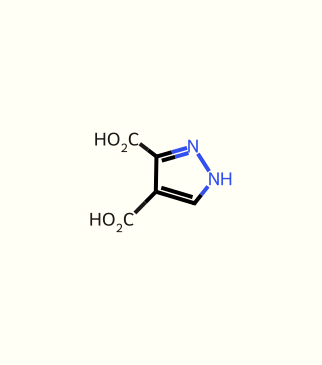 O=C(O)c1c[nH]nc1C(=O)O